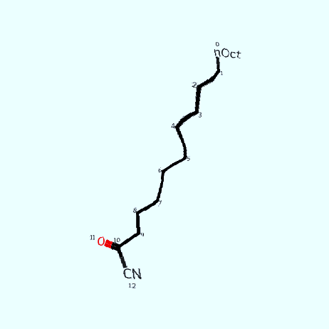 CCCCCCCCCCCCCCCCCC(=O)C#N